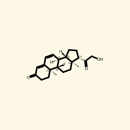 C[C@]12CC[C@@]3(F)[C@@H](C=CC4=CC(=O)CC[C@@]43C)[C@@H]1CC[C@@H]2C(=O)CO